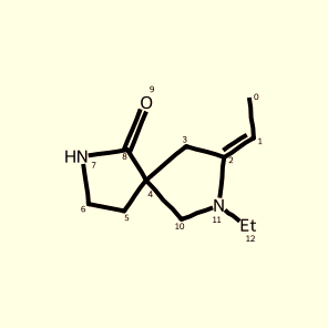 C/C=C1\CC2(CCNC2=O)CN1CC